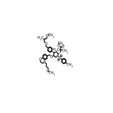 COCCCN1CCOc2ccc(CO[C@H]3CN(S(=O)(=O)c4ccc(C)cc4)[C@@H](CC(C)(C)C(=O)OC)C[C@@H]3c3ccc(COC[C@@H](C)COC)cc3)cc21